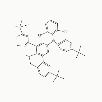 CC(C)(C)c1ccc(N(c2cc3c4c(c2)-c2cc(C(C)(C)C)ccc2CC4Cc2ccc(C(C)(C)C)cc2-3)c2c(Cl)cccc2Cl)cc1